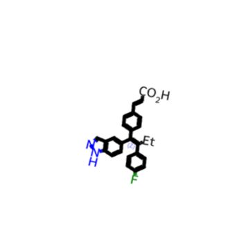 CC/C(=C(\c1ccc(C=CC(=O)O)cc1)c1ccc2[nH]ncc2c1)c1ccc(F)cc1